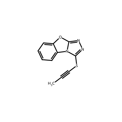 CC#CSc1nnc2oc3ccccc3n12